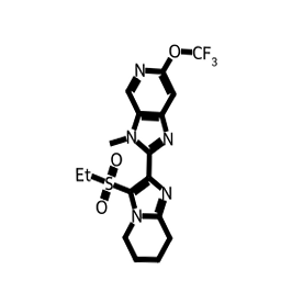 CCS(=O)(=O)c1c(-c2nc3cc(OC(F)(F)F)ncc3n2C)nc2n1CCCC2